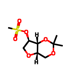 CC1(C)OC[C@@H]2OC[C@@H](OS(C)(=O)=O)[C@@H]2O1